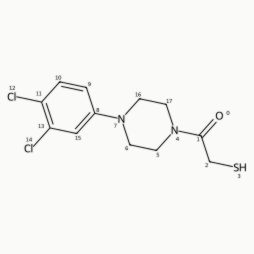 O=C(CS)N1CCN(c2ccc(Cl)c(Cl)c2)CC1